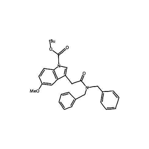 COc1ccc2c(c1)c(CC(=O)N(Cc1ccccc1)Cc1ccccc1)cn2C(=O)OC(C)(C)C